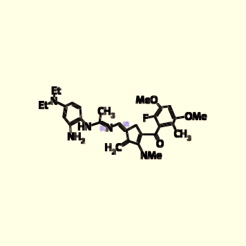 C=C1C(NC)=C(C(=O)c2c(C)c(OC)cc(OC)c2F)C/C1=C/N=C(\C)Nc1ccc(N(CC)CC)cc1N